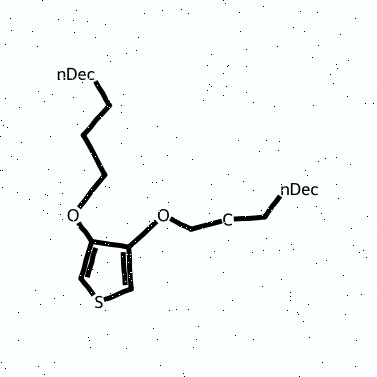 CCCCCCCCCCCCCOc1cscc1OCCCCCCCCCCCCC